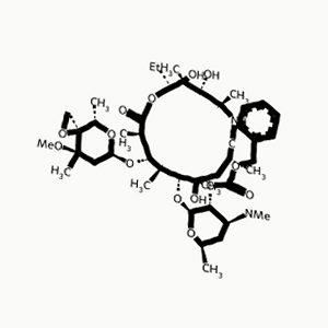 CC[C@H]1OC(=O)[C@H](C)[C@@H](O[C@H]2C[C@@](C)(OC)[C@]3(CO3)[C@H](C)O2)[C@H](C)[C@@H](O[C@@H]2O[C@H](C)C[C@H](NC)[C@H]2OC(=O)OCc2ccccc2)[C@](C)(O)C[C@@H](C)CN[C@H](C)[C@@H](O)[C@]1(C)O